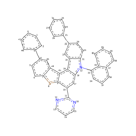 c1ccc(-c2ccc3sc4c(-c5ncccn5)cc5c(c6cc(-c7ccccc7)ccc6n5-c5cccc6ccccc56)c4c3c2)cc1